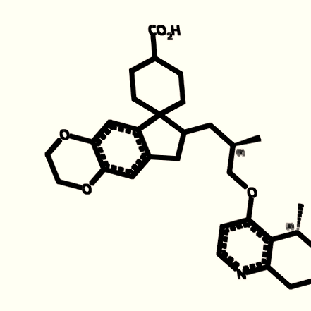 C[C@@H](COc1ccnc2c1[C@H](C)CCC2)CC1Cc2cc3c(cc2C12CCC(C(=O)O)CC2)OCCO3